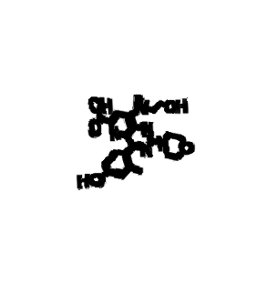 Cc1cc(O)ccc1-c1nc(N2CCOCC2)nc2c(N(C)CCO)cc(C(=O)O)nc12